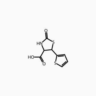 O=C1NC(C(=O)O)C(c2cccs2)S1